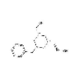 OC[C@@H]1C[C@H](C=NO)CN(Cc2ccccc2)C1